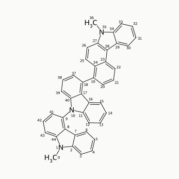 Cn1c2ccccc2c2c(-n3c4ccccc4c4c(-c5cccc6c5ccc5c6c6ccccc6n5C)cccc43)cccc21